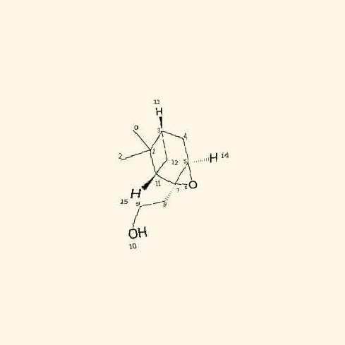 CC1(C)[C@@H]2C[C@H]3O[C@@]3(CCO)[C@H]1C2